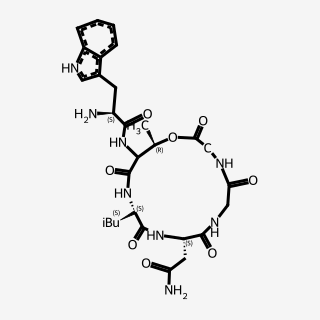 CC[C@H](C)[C@@H]1NC(=O)C(NC(=O)[C@@H](N)Cc2c[nH]c3ccccc23)[C@@H](C)OC(=O)CNC(=O)CNC(=O)[C@H](CC(N)=O)NC1=O